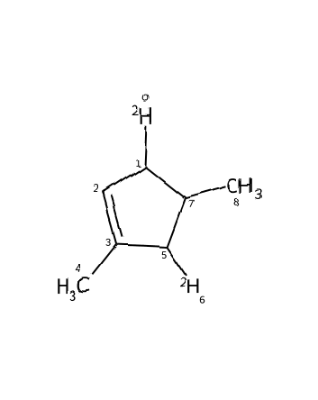 [2H]C1C=C(C)C([2H])C1C